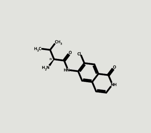 CC(C)[C@H](N)C(=O)Nc1cc2cc[nH]c(=O)c2cc1Cl